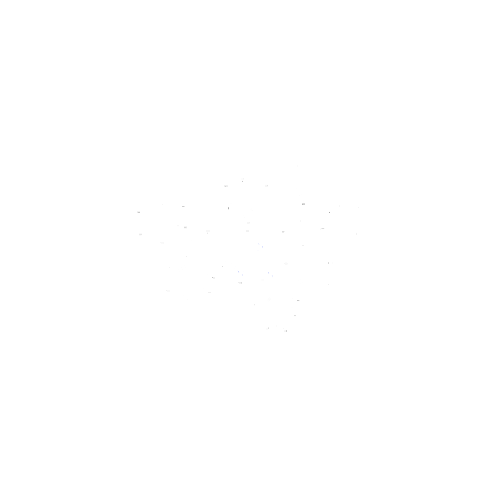 CC1(C)c2ccccc2-c2oc3c(ccc4c5ccccc5n(-c5nc(-c6ccccc6)c6cc(-c7ccccc7)c7ccccc7c6n5)c43)c21